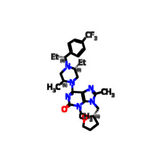 CC[C@@H]1CN(c2nc(=O)n(C)c3c2nc(C)n3C[C@@H]2CCCO2)[C@@H](C)CN1[C@H](CC)c1ccc(C(F)(F)F)cc1